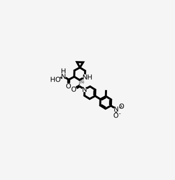 Cc1cc([N+](=O)[O-])ccc1C1=CCN(C(=O)[C@H]2NCC3(CC3)CC2C(=O)NO)CC1